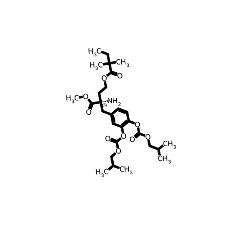 CCC(C)(C)C(=O)OCC[C@@](N)(Cc1ccc(OC(=O)OCC(C)C)c(OC(=O)OCC(C)C)c1)C(=O)OC